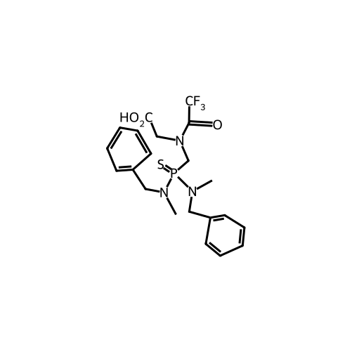 CN(Cc1ccccc1)P(=S)(CN(CC(=O)O)C(=O)C(F)(F)F)N(C)Cc1ccccc1